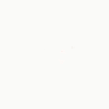 CC1(C)c2ccccc2-c2cc3c(cc21)Oc1c(Br)cccc1O3